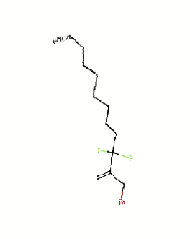 C=C(CBr)C(F)(F)CCCCCCCCCCCCCCCC